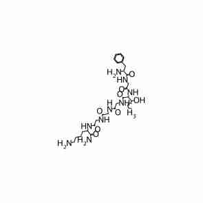 CC(O)C(NC(=O)CNC(=O)C(N)Cc1ccccc1)C(=O)NCC(=O)NCC(=O)NCC(=O)NC(CCCCN)C(N)=O